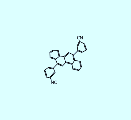 [C-]#[N+]c1cccc(-c2cc3c4ccccc4c(-c4cccc(C#N)c4)cc3c3ccccc23)c1